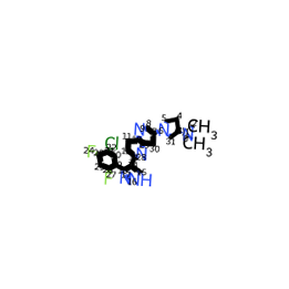 CN(C)[C@H]1CCN(c2cnc3ccc(-c4c[nH]nc4-c4cc(Cl)c(F)cc4F)nc3c2)C1